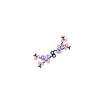 C=C(C)C(=O)OCCNC(=O)N(CCOC(=O)C(=C)C)C(=O)NCCC1CCC2C1C1CCC2(CCNC(=O)N(CCOC(=O)C(=C)C)C(=O)NCCOC(=O)C(=C)C)C1